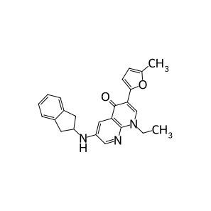 CCn1cc(-c2ccc(C)o2)c(=O)c2cc(NC3Cc4ccccc4C3)cnc21